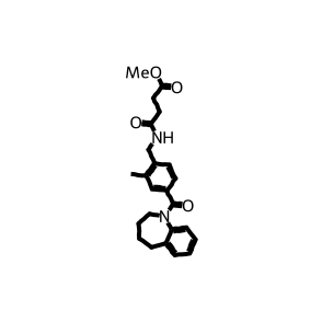 COC(=O)CCC(=O)NCc1ccc(C(=O)N2CCCCc3ccccc32)cc1C